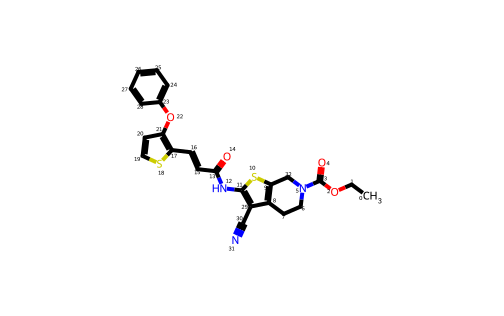 CCOC(=O)N1CCc2c(sc(NC(=O)C=Cc3sccc3Oc3ccccc3)c2C#N)C1